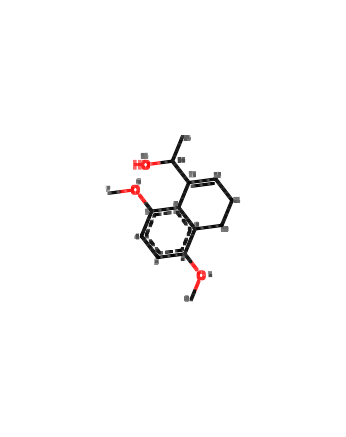 COc1ccc(OC)c2c1CCC=C2C(C)O